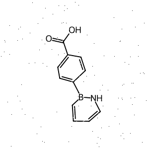 O=C(O)c1ccc(B2C=CC=CN2)cc1